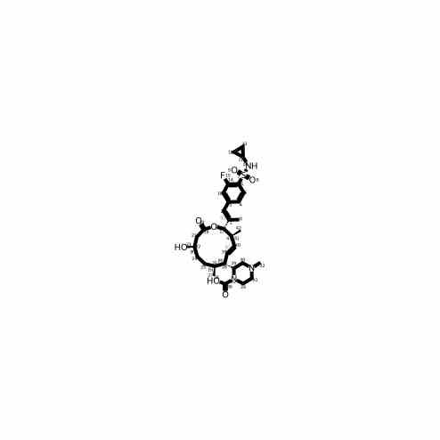 C/C(=C\c1ccc(S(=O)(=O)NC2CC2)c(F)c1)[C@H]1OC(=O)C[C@H](O)CC[C@H](C)[C@@H](C2CN(C)CCN2C(=O)O)/C=C/[C@@H]1C